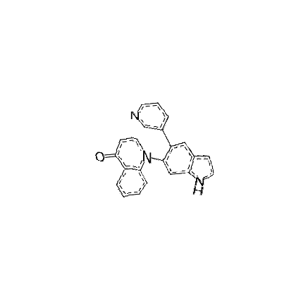 O=c1ccn(-c2cc3[nH]ccc3cc2-c2cccnc2)c2ccccc12